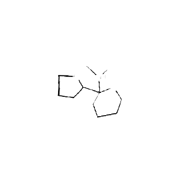 C[SiH](C)C1(C2CCCO2)CCCCO1